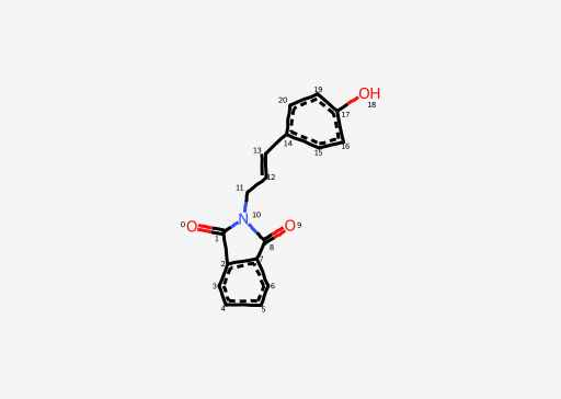 O=C1c2ccccc2C(=O)N1C/C=C/c1ccc(O)cc1